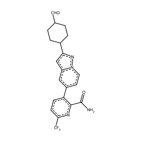 NC(=O)c1nc(C(F)(F)F)ccc1-c1ccn2nc(C3CCC(C=O)CC3)cc2c1